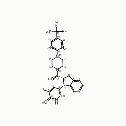 Cc1cc(N2c3ccccc3C[C@H]2C(=O)N2CCN(c3ncc(C(F)(F)F)cn3)CC2)n[nH]c1=O